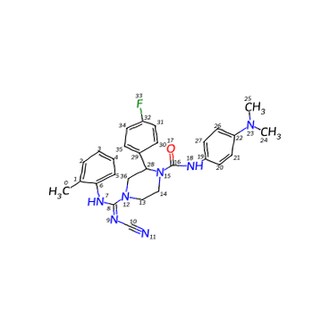 Cc1ccccc1N/C(=N/C#N)N1CCN(C(=O)Nc2ccc(N(C)C)cc2)C(c2ccc(F)cc2)C1